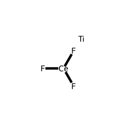 [F][Ce]([F])[F].[Ti]